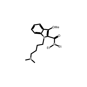 CCN(CC)C(=O)c1c(OC)c2ccccc2n1CCCCN(C)C